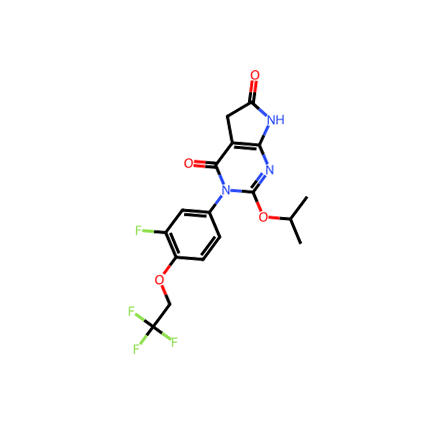 CC(C)Oc1nc2c(c(=O)n1-c1ccc(OCC(F)(F)F)c(F)c1)CC(=O)N2